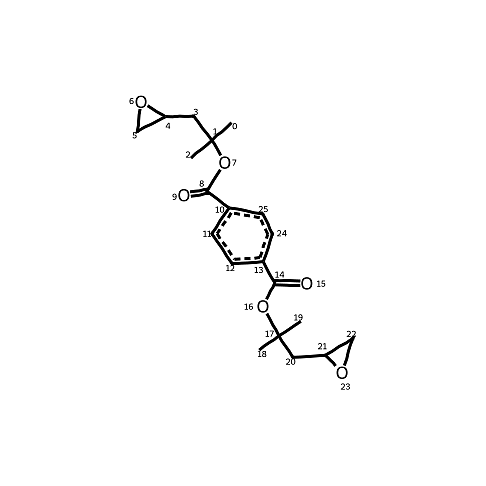 CC(C)(CC1CO1)OC(=O)c1ccc(C(=O)OC(C)(C)CC2CO2)cc1